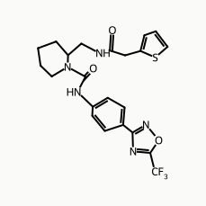 O=C(Cc1cccs1)NCC1CCCCN1C(=O)Nc1ccc(-c2noc(C(F)(F)F)n2)cc1